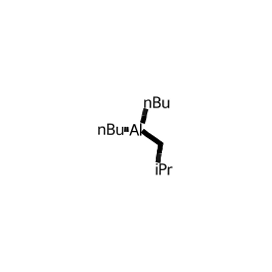 CCC[CH2][Al]([CH2]CCC)[CH2]C(C)C